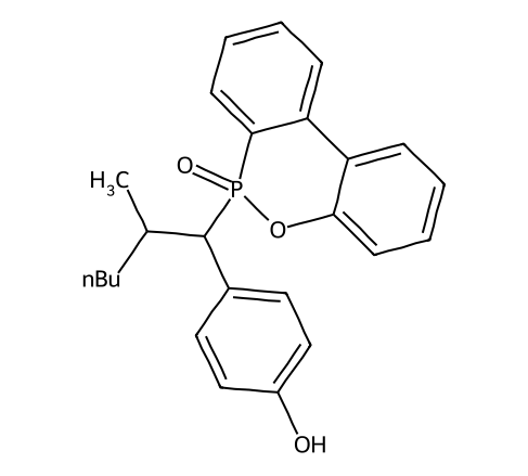 CCCCC(C)C(c1ccc(O)cc1)P1(=O)Oc2ccccc2-c2ccccc21